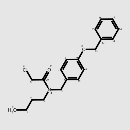 CCCCN(Cc1ccc(OCc2ccccc2)cc1)C(=O)CCl